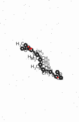 Cc1ccc(OCc2ccc(COc3c(C)cc(Oc4c(C)cc(-c5cc(C)c(Oc6cc(C)c(OCc7ccc(COc8ccc(O)c(P(=O)(c9ccccc9)c9ccccc9)c8)cc7)c(C)c6)c(C)c5C)c(C)c4C)cc3C)cc2)c(P(=O)(c2ccccc2)c2ccccc2)c1